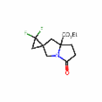 CCOC(=O)C12CCC(=O)N1CC1(C2)CC1(F)F